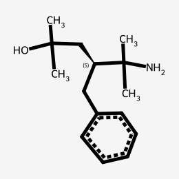 CC(C)(O)C[C@H](Cc1ccccc1)C(C)(C)N